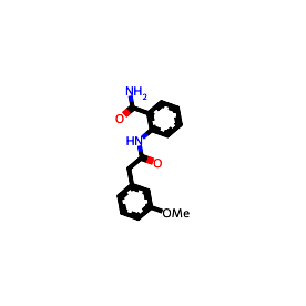 COc1cccc(CC(=O)Nc2ccccc2C(N)=O)c1